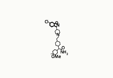 COC1(C)CCC(C(C(N)=O)C2CCC(CCN3CCC(c4noc5cc(Cl)ccc45)CC3)CC2)CC1